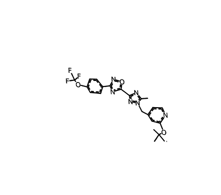 [CH2]C(C)(C)Oc1cc(Cn2nc(-c3nc(-c4ccc(OC(F)(F)F)cc4)no3)nc2C)ccn1